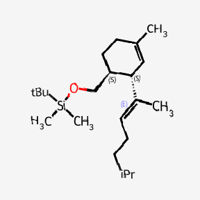 CC1=C[C@H](/C(C)=C/CCC(C)C)[C@@H](CO[Si](C)(C)C(C)(C)C)CC1